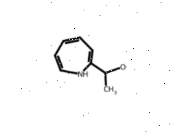 CC([O])C1=CC=CC=CN1